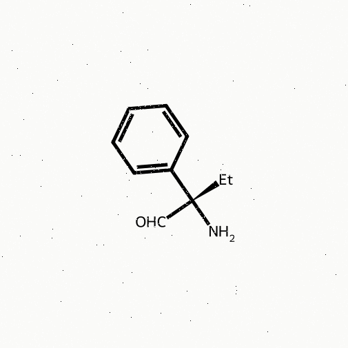 CC[C@@](N)(C=O)c1ccccc1